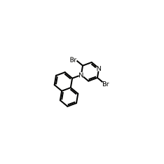 BrC1=CN(c2cccc3ccccc23)C(Br)C=N1